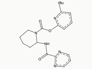 CC(C)(C)c1cccc(OC(=O)N2CCCCC2NC(=O)c2ncccn2)n1